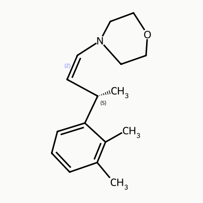 Cc1cccc([C@@H](C)/C=C\N2CCOCC2)c1C